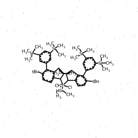 CC1=Cc2c(ccc(C(C)(C)C)c2-c2cc([Si](C)(C)C)cc([Si](C)(C)C)c2)[CH]1[Zr]([Cl])([Cl])([CH]1C(C)=Cc2c1ccc(C(C)(C)C)c2-c1cc([Si](C)(C)C)cc([Si](C)(C)C)c1)[SiH](C)C